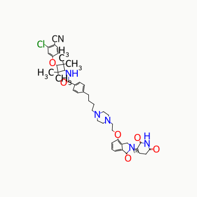 CC1(C)C(NC(=O)c2ccc(CCCCN3CCN(CCOc4cccc5c4CN([C@H]4CCC(=O)NC4=O)C5=O)CC3)cc2)C(C)(C)C1Oc1ccc(C#N)c(Cl)c1